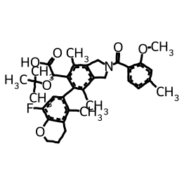 COc1cc(C)ccc1C(=O)N1Cc2c(C)c(-c3cc(F)c4c(c3C)CCCO4)c([C@H](OC(C)(C)C)C(=O)O)c(C)c2C1